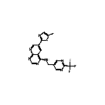 Cc1cnc(-c2cnc3ncnc(NCc4cnc(C(F)(F)F)nc4)c3c2)s1